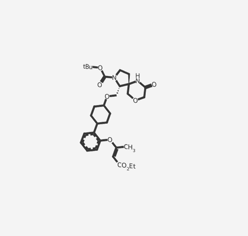 CCOC(=O)C=C(C)Oc1ccccc1C1CCC(OC[C@@H]2N(C(=O)OC(C)(C)C)CC[C@@]23COCC(=O)N3)CC1